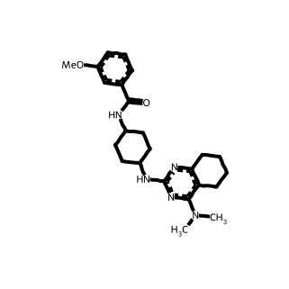 COc1cccc(C(=O)NC2CCC(Nc3nc4c(c(N(C)C)n3)CCCC4)CC2)c1